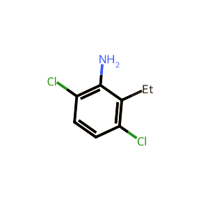 CCc1c(Cl)ccc(Cl)c1N